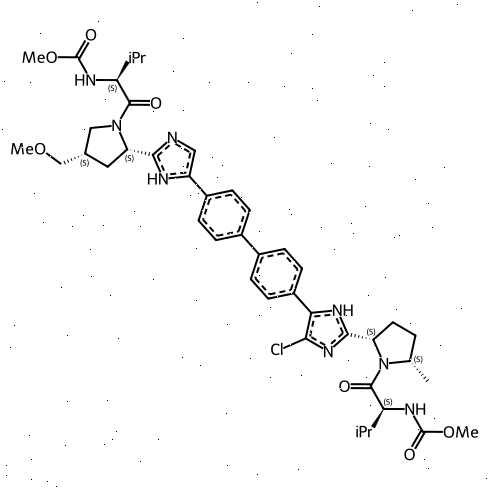 COC[C@H]1C[C@@H](c2ncc(-c3ccc(-c4ccc(-c5[nH]c([C@@H]6CC[C@H](C)N6C(=O)[C@@H](NC(=O)OC)C(C)C)nc5Cl)cc4)cc3)[nH]2)N(C(=O)[C@@H](NC(=O)OC)C(C)C)C1